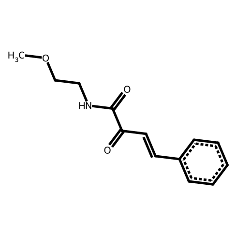 COCCNC(=O)C(=O)/C=C/c1ccccc1